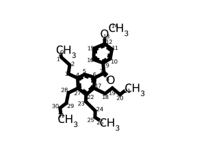 CCCCc1cc(C(=O)c2ccc(OC)cc2)c(CCCC)c(CCCC)c1CCCC